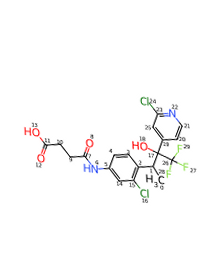 CC(c1ccc(NC(=O)CCC(=O)O)cc1Cl)C(O)(c1ccnc(Cl)c1)C(F)(F)F